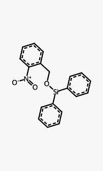 O=[N+]([O-])c1ccccc1CO[Si](c1ccccc1)c1ccccc1